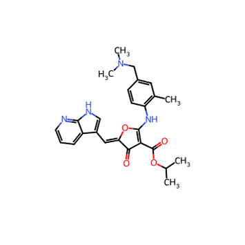 Cc1cc(CN(C)C)ccc1NC1=C(C(=O)OC(C)C)C(=O)/C(=C/c2c[nH]c3ncccc23)O1